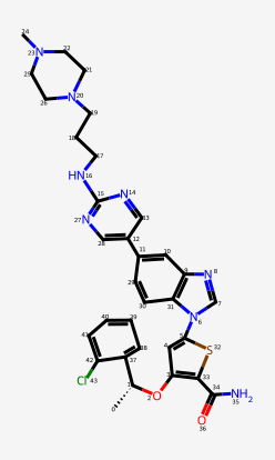 C[C@@H](Oc1cc(-n2cnc3cc(-c4cnc(NCCCN5CCN(C)CC5)nc4)ccc32)sc1C(N)=O)c1ccccc1Cl